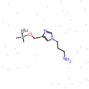 CC(C)(C)[Si](C)(C)OCc1cn(CCCN)cn1